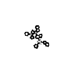 c1ccc(-c2nc(-c3ccc4ccccc4c3)nc(-c3ccc(-n4c5ccc6ccccc6c5c5ccc6c(c7ccccc7n6-c6ccccc6)c54)c4ccccc34)n2)cc1